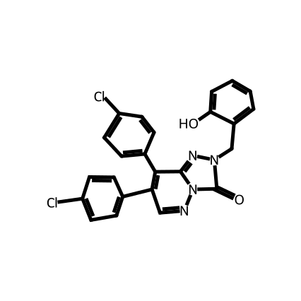 O=c1n(Cc2ccccc2O)nc2c(-c3ccc(Cl)cc3)c(-c3ccc(Cl)cc3)cnn12